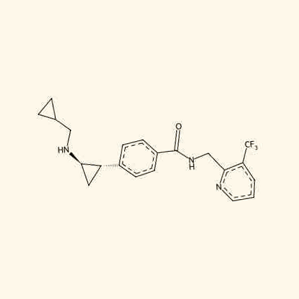 O=C(NCc1ncccc1C(F)(F)F)c1ccc([C@@H]2C[C@H]2NCC2CC2)cc1